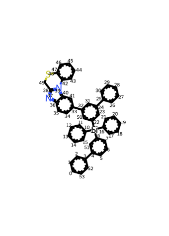 c1ccc(-c2cccc([Si](c3ccccc3)(c3ccccc3)c3cc(-c4ccccc4)cc(-c4ccc5nc6n(c5c4)-c4ccccc4SC6)c3)c2)cc1